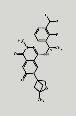 C[C@@H](Nc1nn(C)c(=O)c2cc(=O)n(C34COC(C)(C3)C4)cc12)c1cccc(C(F)F)c1F